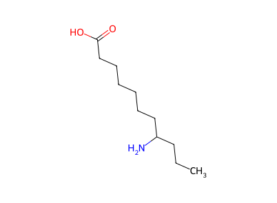 CCCC(N)CCCCCCC(=O)O